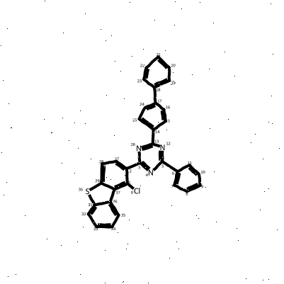 Clc1c(-c2nc(-c3ccccc3)nc(-c3ccc(-c4ccccc4)cc3)n2)ccc2sc3ccccc3c12